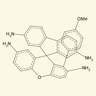 COc1ccc(-c2c(N)ccc3c2C2(c4cc(N)ccc4O3)c3cc(N)ccc3-c3ccc(N)cc32)cc1